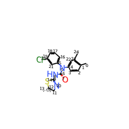 Cc1ccc(N(C(=O)NC2=NC[C@H](C)S2)c2cccc(Cl)c2)cc1C